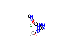 C=CC(=O)N1CCC(c2c[nH]c3ncnc(Nc4ccc(OCc5cn6ccccc6n5)c(Cl)c4)c23)CC1